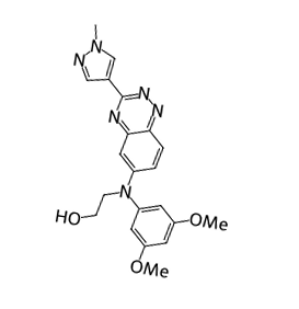 COc1cc(OC)cc(N(CCO)c2ccc3nnc(-c4cnn(C)c4)nc3c2)c1